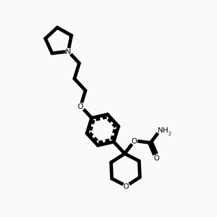 NC(=O)OC1(c2ccc(OCCCN3CCCC3)cc2)CCOCC1